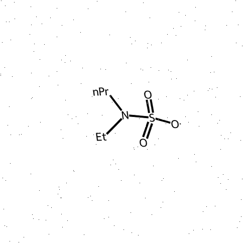 CCCN(CC)S([O])(=O)=O